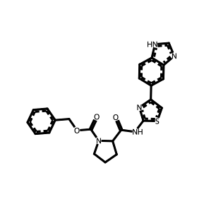 O=C(Nc1nc(-c2ccc3[nH]cnc3c2)cs1)C1CCCN1C(=O)OCc1ccccc1